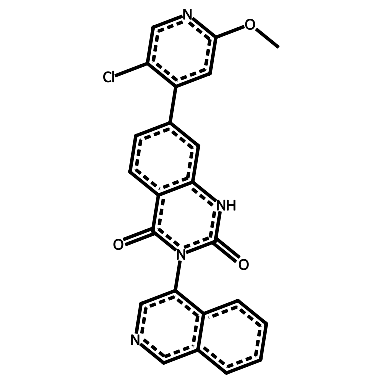 COc1cc(-c2ccc3c(=O)n(-c4cncc5ccccc45)c(=O)[nH]c3c2)c(Cl)cn1